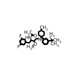 C=C1CCC(NCC(OC)C(Cc2cc(F)cc(F)c2)NC(C)=O)(c2cccc(C(C)(C)C)c2)CC1